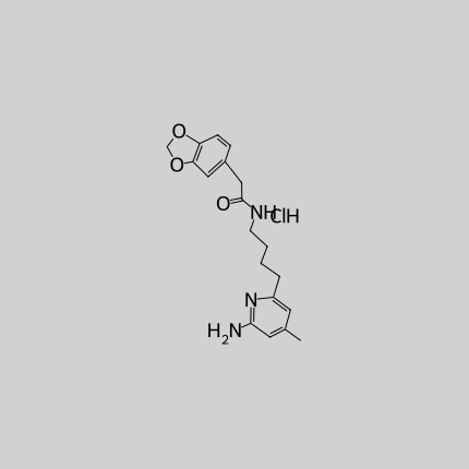 Cc1cc(N)nc(CCCCNC(=O)Cc2ccc3c(c2)OCO3)c1.Cl